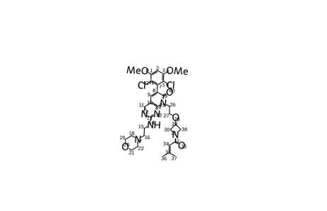 COc1cc(OC)c(Cl)c(-c2cc3cnc(NCCN4CCOCC4)nc3n(CCOC3CN(C(=O)C=C(C)C)C3)c2=O)c1Cl